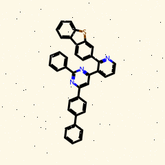 c1ccc(-c2ccc(-c3cc(-c4cccnc4-c4ccc5c(c4)sc4ccccc45)nc(-c4ccccc4)n3)cc2)cc1